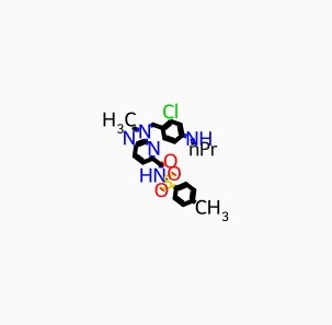 CCCNc1ccc(Cn2c(C)nc3ccc(C(=O)NS(=O)(=O)c4ccc(C)cc4)nc32)c(Cl)c1